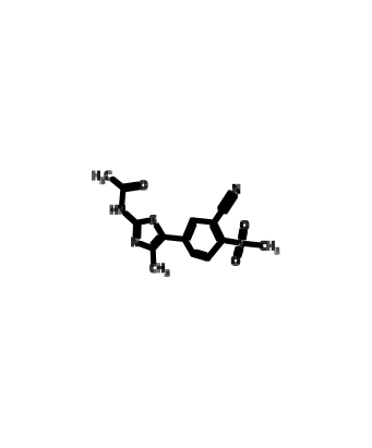 CC(=O)Nc1nc(C)c(-c2ccc(S(C)(=O)=O)c(C#N)c2)s1